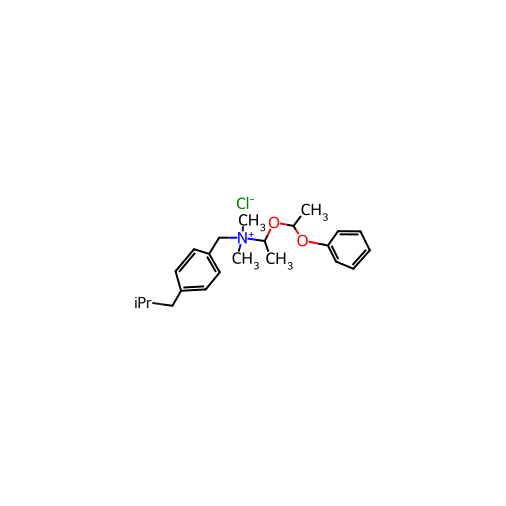 CC(C)Cc1ccc(C[N+](C)(C)C(C)OC(C)Oc2ccccc2)cc1.[Cl-]